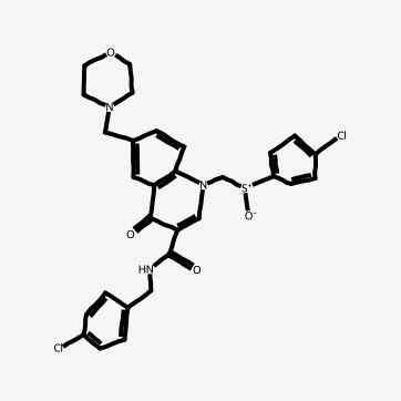 O=C(NCc1ccc(Cl)cc1)c1cn(C[S+]([O-])c2ccc(Cl)cc2)c2ccc(CN3CCOCC3)cc2c1=O